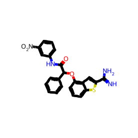 N=C(N)c1cc2c(OC(C(=O)Nc3cccc([N+](=O)[O-])c3)c3ccccc3)cccc2s1